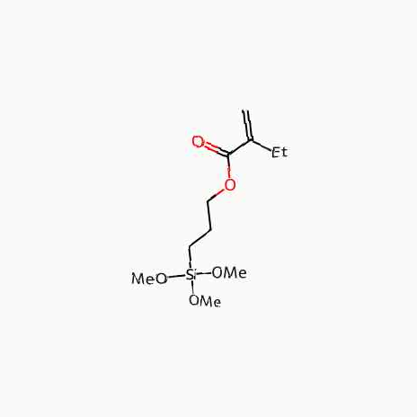 C=C(CC)C(=O)OCCC[Si](OC)(OC)OC